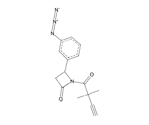 C#CC(C)(C)C(=O)N1C(=O)CC1c1cccc(N=[N+]=[N-])c1